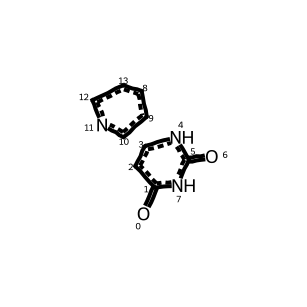 O=c1cc[nH]c(=O)[nH]1.c1ccncc1